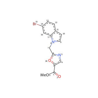 COC(=O)c1cnc(Cn2ccc3ccc(Br)cc32)o1